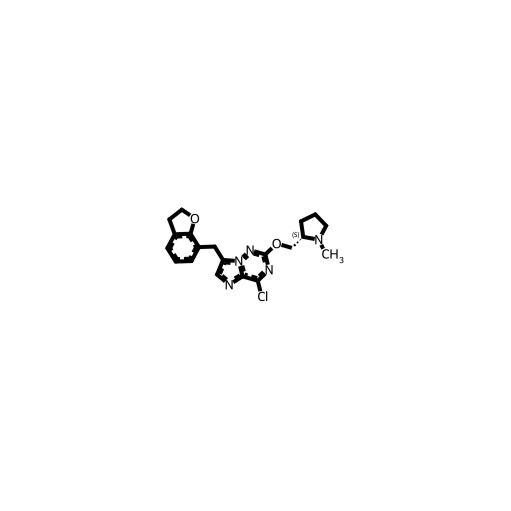 CN1CCC[C@H]1COc1nc(Cl)c2ncc(Cc3cccc4c3OCC4)n2n1